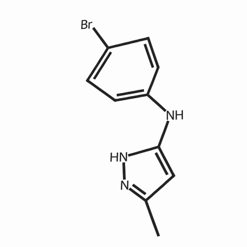 Cc1cc(Nc2ccc(Br)cc2)[nH]n1